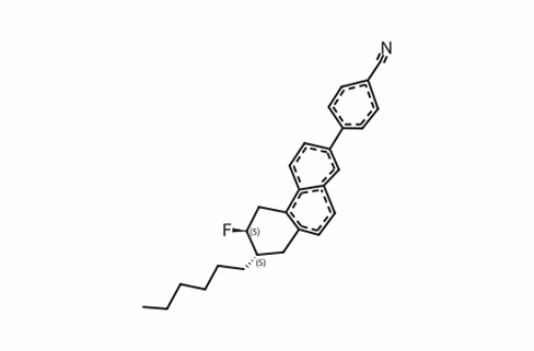 CCCCCC[C@H]1Cc2ccc3cc(-c4ccc(C#N)cc4)ccc3c2C[C@@H]1F